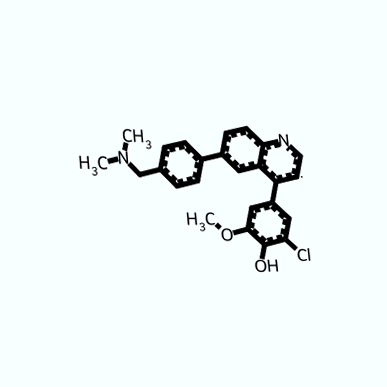 COc1cc(-c2[c]cnc3ccc(-c4ccc(CN(C)C)cc4)cc23)cc(Cl)c1O